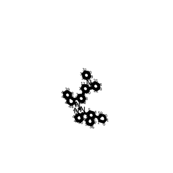 C1=CC(c2ccc(-c3nc(N4c5ccc(-c6ccc7c(c6)c6ccccc6n7-c6ccccc6)cc5C5=c6ccccc6=CCC54)nc4ccccc34)c3ccccc23)=CCC1